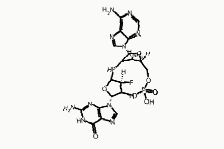 Nc1nc2c(ncn2[C@@H]2OC3PC4[C@@H](N)[C@@H](COP(=O)(O)O[C@@H]2[C@@H]3F)O[C@H]4n2cnc3c(N)ncnc32)c(=O)[nH]1